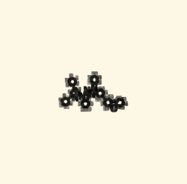 c1ccc(-c2cc(-c3ccccc3)nc(-n3c4ccccc4c4c3nc3n(-c5ccccc5)c5ccc(-c6ccc7oc8ccccc8c7c6)cc5n43)n2)cc1